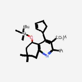 CC(C)c1nc2c(c(C3C=CCC3)c1C(=O)O)C(O[Si](C)(C)C(C)(C)C)CC(C)(C)C2